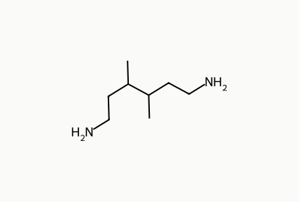 CC(CCN)C(C)CCN